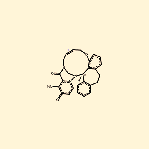 O=C1c2c(O)c(=O)ccn2N2CN1C/C=C\COc1cccc3c1[C@H]2c1ccccc1CC3